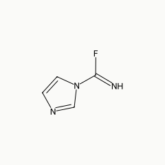 N=C(F)n1ccnc1